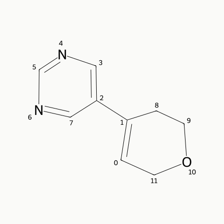 C1=C(c2cncnc2)CCOC1